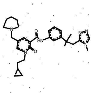 Cn1cnnc1CC(C)(C)c1cccc(NC(=O)c2cc(CN3CCCCC3)cn(CCC3CC3)c2=O)c1